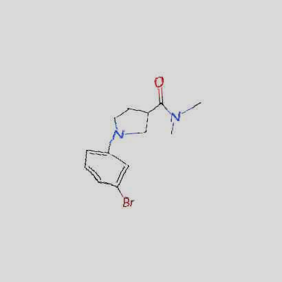 CN(C)C(=O)C1CCN(c2cccc(Br)c2)C1